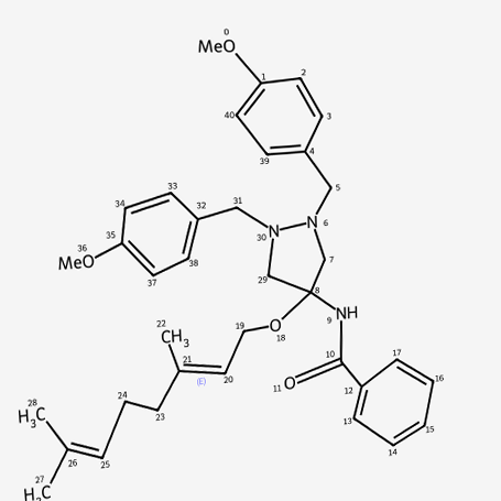 COc1ccc(CN2CC(NC(=O)c3ccccc3)(OC/C=C(\C)CCC=C(C)C)CN2Cc2ccc(OC)cc2)cc1